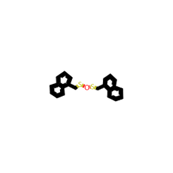 c1ccc2c(CSOSCc3cccc4ccccc34)cccc2c1